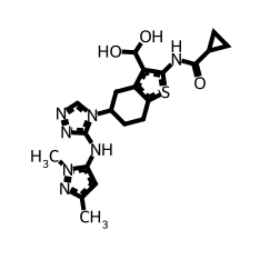 Cc1cc(Nc2nncn2C2CCc3sc(NC(=O)C4CC4)c(C(O)O)c3C2)n(C)n1